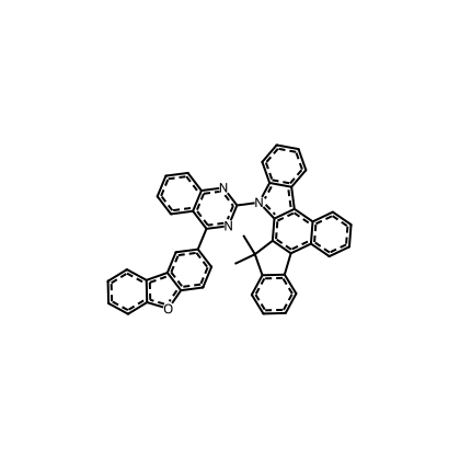 CC1(C)c2ccccc2-c2c1c1c(c3ccccc23)c2ccccc2n1-c1nc(-c2ccc3oc4ccccc4c3c2)c2ccccc2n1